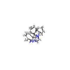 C1=CN(c2ccccc2)C(c2ccccc2)(c2ccccc2)N1